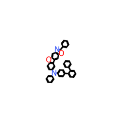 c1ccc(-c2nc3cc4oc5ccc(N(c6ccccc6)c6ccc(-c7ccccc7-c7ccccc7)cc6)cc5c4cc3o2)cc1